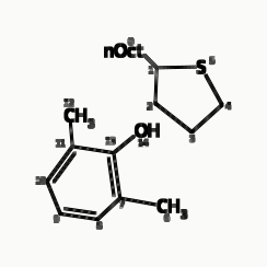 CCCCCCCCC1CCCS1.Cc1cccc(C)c1O